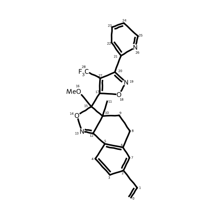 C=Cc1ccc2c(c1)CCC1(C)C2=NOC1(OC)c1onc(-c2ccccn2)c1C(F)(F)F